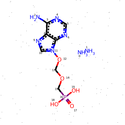 N.N.Nc1ncnc2c1ncn2OCOCP(=O)(O)O